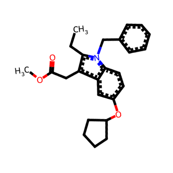 CCc1c(CC(=O)OC)c2cc(OC3CCCC3)ccc2n1Cc1ccccc1